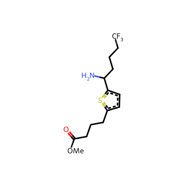 COC(=O)CCCc1ccc(C(N)CCCC(F)(F)F)s1